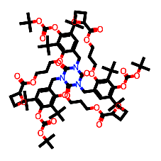 CC(C)(C)OC(=O)Oc1c(C(C)(C)C)cc(Cn2c(=O)n(Cc3cc(C(C)(C)C)c(OC(=O)OC(C)(C)C)c(C(C)(C)C)c3OCCCOC(=O)C3CCO3)c(=O)n(Cc3cc(C(C)(C)C)c(OC(=O)OC(C)(C)C)c(C(C)(C)C)c3OCCCOC(=O)C3CCO3)c2=O)c(OCCCOC(=O)C2CCO2)c1C(C)(C)C